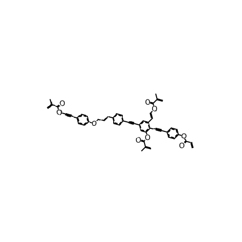 C=CC(=O)Oc1ccc(C#Cc2c(/C=C/OC(=O)C(=C)C)cc(C#Cc3ccc(/C=C/COc4ccc(C#COC(=O)C(=C)C)cc4)cc3)cc2OC(=O)C(=C)C)cc1